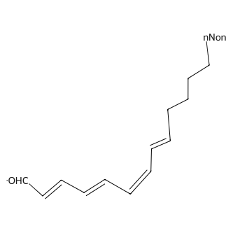 CCCCCCCCCCCCC/C=C/C=C\C=C\C=C\[C]=O